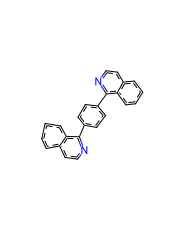 c1ccc2c(-c3ccc(-c4nccc5ccccc45)cc3)nccc2c1